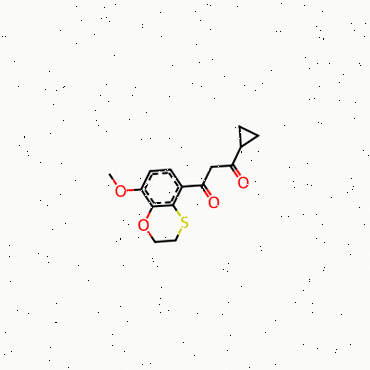 COc1ccc(C(=O)CC(=O)C2CC2)c2c1OCCS2